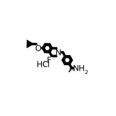 C[C@H](N)c1ccc(CN2Cc3ccc(OCC4CC4)cc3C(F)C2)cc1.Cl